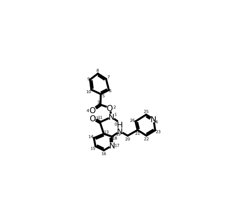 CN(OC(=O)c1ccccc1)C(=O)c1cccnc1NCc1ccncc1